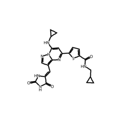 O=C1NC(=O)/C(=C/c2cnn3c(NC4CC4)cc(-c4ccc(C(=O)NCC5CC5)s4)nc23)N1